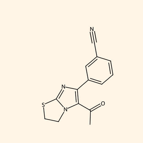 CC(=O)c1c(-c2cccc(C#N)c2)nc2n1CCS2